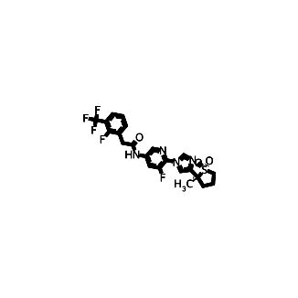 C[C@@]1(c2cn(-c3ncc(NC(=O)Cc4cccc(C(F)(F)F)c4F)cc3F)cn2)CCCS1(=O)=O